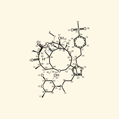 CC[C@H]1OC(=O)[C@H](C)C(=O)[C@H](C)[C@@H](O[C@@H]2O[C@H](C)C[C@H](N(C)CCc3cn([C@H](CF)Cc4ccc(S(C)(=O)=O)cc4)nn3)[C@H]2O)[C@@]2(C)C[C@@H](C)/C(=N\C(C)=O)[C@H](C)[C@@H](OCC(CO)CO2)[C@]1(C)O